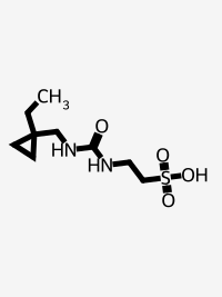 CCC1(CNC(=O)NCCS(=O)(=O)O)CC1